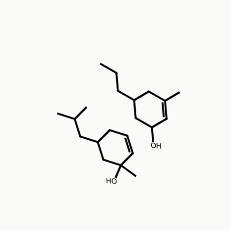 CC(C)CC1CC=CC(C)(O)C1.CCCC1CC(C)=CC(O)C1